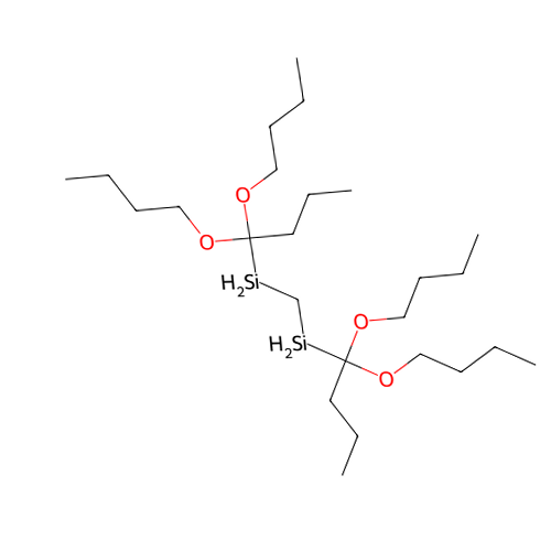 CCCCOC(CCC)(OCCCC)[SiH2]C[SiH2]C(CCC)(OCCCC)OCCCC